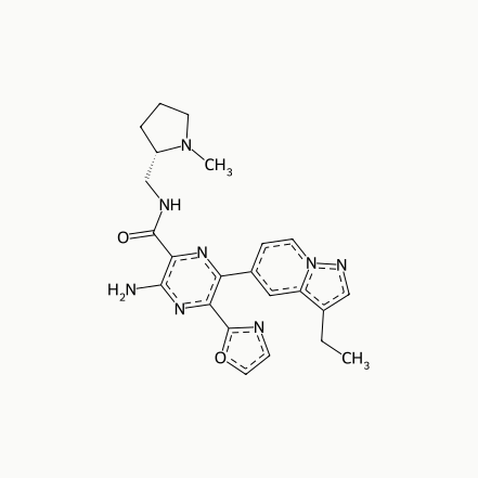 CCc1cnn2ccc(-c3nc(C(=O)NC[C@@H]4CCCN4C)c(N)nc3-c3ncco3)cc12